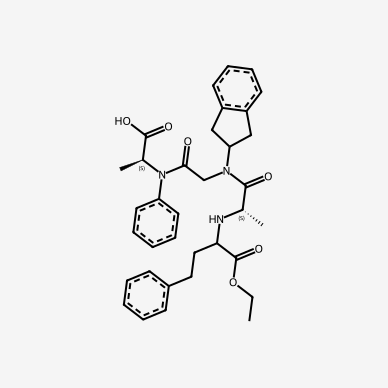 CCOC(=O)C(CCc1ccccc1)N[C@@H](C)C(=O)N(CC(=O)N(c1ccccc1)[C@@H](C)C(=O)O)C1Cc2ccccc2C1